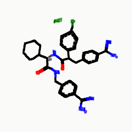 Cl.N=C(N)c1ccc(CNC(=O)[C@@H](NC(=O)C(Cc2ccc(C(=N)N)cc2)c2ccc(Br)cc2)C2CCCCC2)cc1